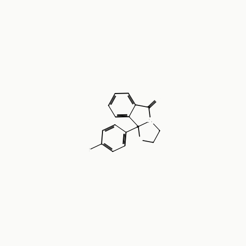 O=C1c2ccccc2C2(c3ccc(Cl)cc3)SCCN12